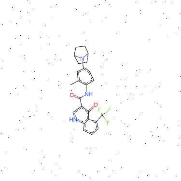 Cc1cc(N2C3CCC2CC3)ccc1NC(=O)c1c[nH]c2cccc(C(F)(F)F)c2c1=O